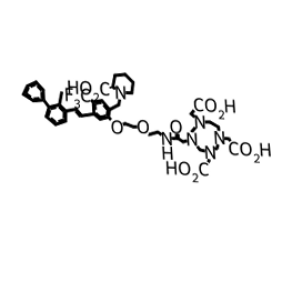 Cc1c(/C=C/c2cc(OCCOCCNC(=O)CN3CN(CC(=O)O)CCN(CC(=O)O)CN(CC(=O)O)C3)c(CN3CCCC[C@H]3C(=O)O)cc2C(F)(F)F)cccc1-c1ccccc1